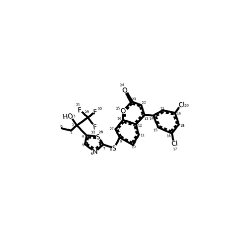 CCC(O)(c1cnc(Sc2ccc3c(-c4cc(Cl)cc(Cl)c4)cc(=O)oc3c2)s1)C(F)(F)F